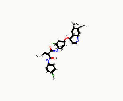 CN/C=C(\C(=O)Nc1ccc(F)cc1)C(=O)Nc1ccc(Oc2ccnc3cc(OC)c(OC)cc23)cc1F